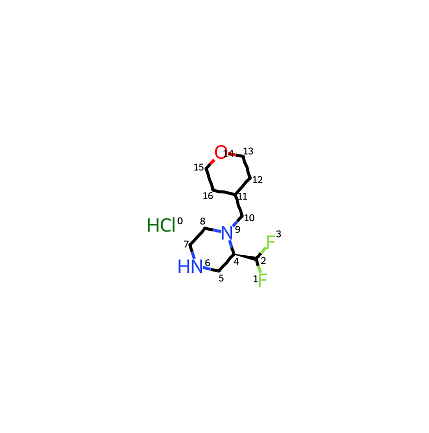 Cl.FC(F)[C@H]1CNCCN1CC1CCOCC1